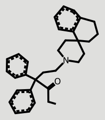 CCC(=O)C(CCN1CCC2(CCCc3ccccc32)CC1)(c1ccccc1)c1ccccc1